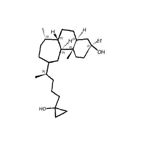 CC[C@]1(O)CC[C@@]2(C)[C@@H](CC[C@H]3[C@@H](C)CCC([C@H](C)CCCC4(O)CC4)C[C@@H]32)C1